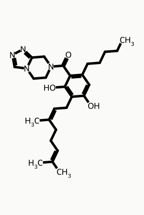 CCCCCc1cc(O)c(CC=C(C)CCC=C(C)C)c(O)c1C(=O)N1CCn2cnnc2C1